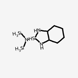 [SiH3]N([SiH3])[SiH]1NC2CCCCC2N1